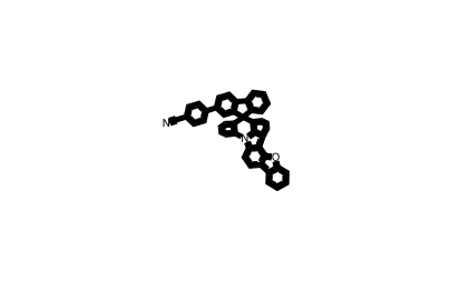 N#Cc1ccc(-c2ccc3c(c2)C2(c4ccccc4-3)c3ccccc3-n3c4ccc5c6ccccc6oc5c4c4cccc2c43)cc1